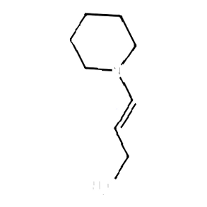 [CH2]C/C=C/N1CCCCC1